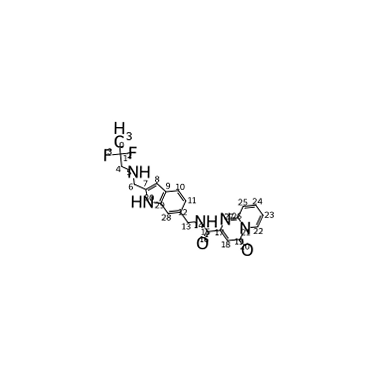 CC(F)(F)CNCc1cc2ccc(CNC(=O)c3cc(=O)n4ccccc4n3)cc2[nH]1